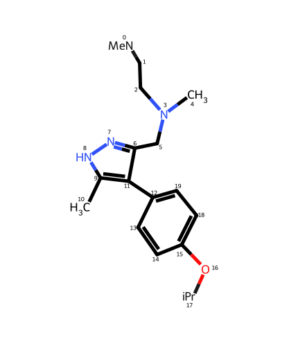 CNCCN(C)Cc1n[nH]c(C)c1-c1ccc(OC(C)C)cc1